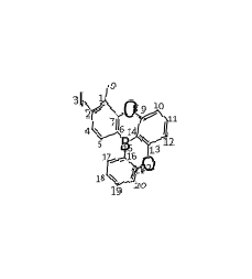 Cc1c(I)ccc2c1Oc1cccc3c1B2c1ccccc1O3